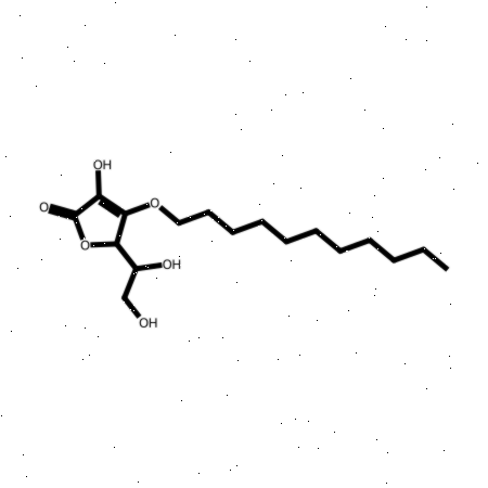 CCCCCCCCCCCOC1=C(O)C(=O)OC1C(O)CO